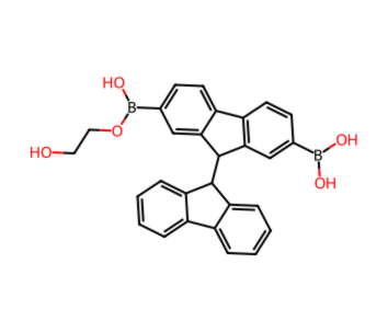 OCCOB(O)c1ccc2c(c1)C(C1c3ccccc3-c3ccccc31)c1cc(B(O)O)ccc1-2